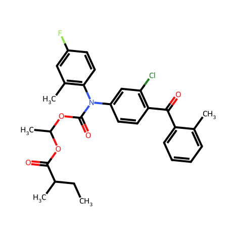 CCC(C)C(=O)OC(C)OC(=O)N(c1ccc(C(=O)c2ccccc2C)c(Cl)c1)c1ccc(F)cc1C